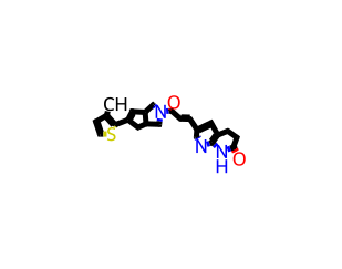 Cc1ccsc1C1=CC2CN(C(=O)/C=C/c3cnc4c(c3)CCC(=O)N4)CC2C1